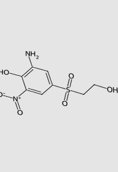 Nc1cc(S(=O)(=O)CCO)cc([N+](=O)[O-])c1O